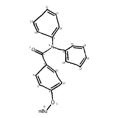 CCCCOc1ccc(C(=O)N(c2ccccc2)c2ccccc2)cc1